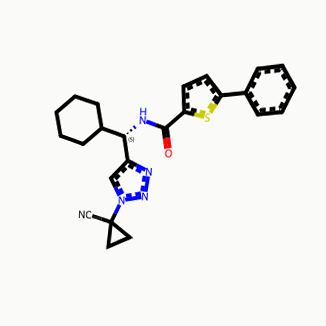 N#CC1(n2cc([C@@H](NC(=O)c3ccc(-c4ccccc4)s3)C3CCCCC3)nn2)CC1